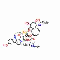 COC(=O)NC1=C2C#C/C=C\C#C[C@H](OC3OC(C)C(SC)(C(=O)C4=NCCc5c4[nH]c4ccc(O)cc54)C(O)C3OC3CC(OC)C(NC(C)C)CO3)C2/C(=C\CS(C)=S)[C@@H](O)CC1=O